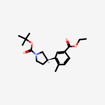 CCOC(=O)c1ccc(C)c([C@H]2CCN(C(=O)OC(C)(C)C)C2)c1